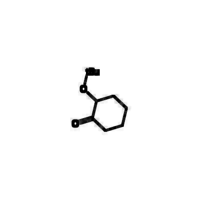 CC(C)(C)OC1CCCCC1=O